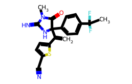 C=C(c1ccc(C#N)s1)C1(c2ccc(C(C)(F)F)cc2)NC(=N)N(C)C1=O